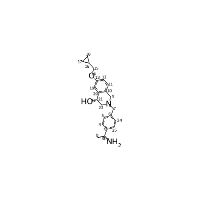 C[C@H](N)c1ccc(CN2Cc3ccc(OCC4CC4)cc3C(O)C2)cc1